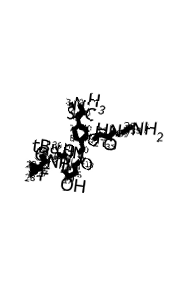 Cc1ncsc1-c1ccc(CNC(=O)C2C[C@@H](O)CN2C(=O)[C@@H](NC(=O)C2(F)CC2)C(C)(C)C)c(OCC(=O)NCCN)c1